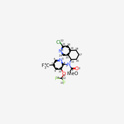 COC(=O)N(c1ncc(C(F)(F)F)cc1OC(F)F)C1CCCc2cc(Cl)ncc21